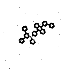 c1ccc(-c2cccc(-c3c4ccccc4c(-c4ccc(N(c5cc(-c6ccccc6)cc(-c6ccccc6)c5)c5ccccn5)cc4)c4ccccc34)c2)cc1